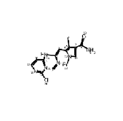 C=N/C(=C\c1c(C)c(C(N)=O)cn1C(C)C)Nc1ccnc(Cl)n1